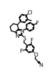 Cc1cc(C2CCCc3nc(SCc4c(F)cc(OCC#N)cc4F)n(-c4ccc(F)cc4)c32)ccc1Cl